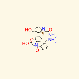 NC(=O)c1nc2ccc(CO)cc2s1.NCc1cccc(C(=O)N(CC(=O)O)c2ccccc2)c1